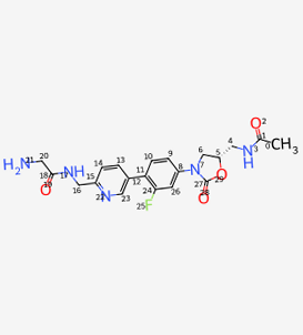 CC(=O)NC[C@H]1CN(c2ccc(-c3ccc(CNC(=O)CN)nc3)c(F)c2)C(=O)O1